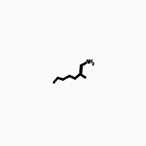 CCCCCC(C)=CN